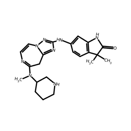 CN(C1=NC=Cn2nc(Nc3ccc4c(c3)NC(=O)C4(C)C)nc2C1)C1CCCNC1